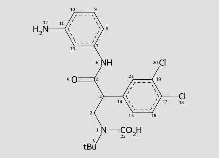 CC(C)(C)N(CC(C(=O)Nc1cccc(N)c1)c1ccc(Cl)c(Cl)c1)C(=O)O